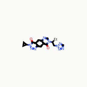 CCC(Cn1ncnn1)n1cnc2cc3c(=O)n(C4CC4)nnc3cc2c1=O